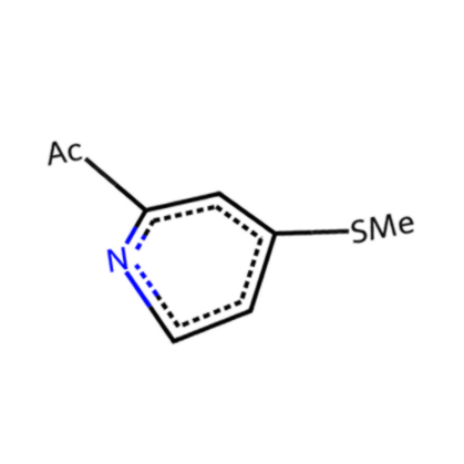 CSc1ccnc(C(C)=O)c1